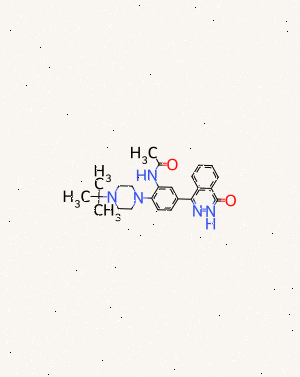 CC(=O)Nc1cc(-c2n[nH]c(=O)c3ccccc23)ccc1N1CCN(C(C)(C)C)CC1